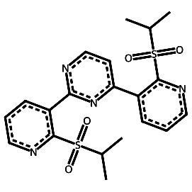 CC(C)S(=O)(=O)c1ncccc1-c1ccnc(-c2cccnc2S(=O)(=O)C(C)C)n1